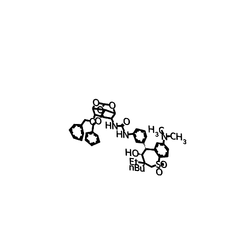 CCCC[C@]1(CC)CS(=O)(=O)c2ccc(N(C)C)cc2[C@@H](c2cccc(NC(=O)NC3C4OC5OC3C(OCc3ccccc3)C(O5)C4OCc3ccccc3)c2)[C@H]1O